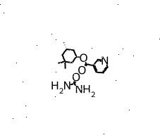 C[C@@H]1C[C@@H](OC(=O)c2cccnc2)CC(C)(C)C1.NC(N)=O